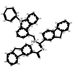 C=C(/N=C(\NCc1cccc2c1c1ccccc1n2C1=CC=CCC=C1)c1ccc2c(c1)Cc1ccccc1-2)c1ccc2c(c1)-c1ccccc1C2